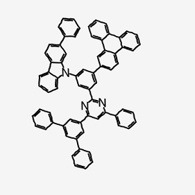 c1ccc(-c2cc(-c3ccccc3)cc(-c3cc(-c4ccccc4)nc(-c4cc(-c5ccc6c7ccccc7c7ccccc7c6c5)cc(-n5c6ccccc6c6ccc(-c7ccccc7)cc65)c4)n3)c2)cc1